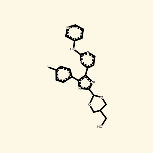 OCC1COC(c2nc(-c3ccc(F)cc3)c(-c3ccnc(Nc4cccnc4)n3)[nH]2)OC1